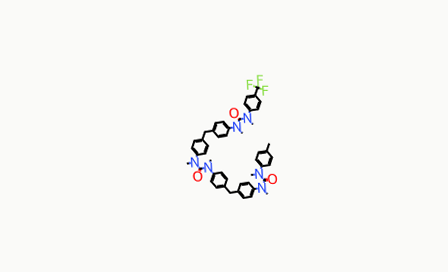 Cc1ccc(N(C)C(=O)N(C)c2ccc(Cc3ccc(N(C)C(=O)N(C)c4ccc(Cc5ccc(N(C)C(=O)N(C)c6ccc(C(F)(F)F)cc6)cc5)cc4)cc3)cc2)cc1